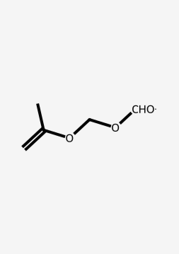 C=C(C)OCO[C]=O